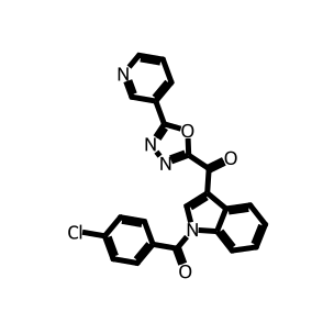 O=C(c1nnc(-c2cccnc2)o1)c1cn(C(=O)c2ccc(Cl)cc2)c2ccccc12